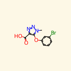 Cn1nnc(C(=O)O)c1Oc1cccc(Br)c1